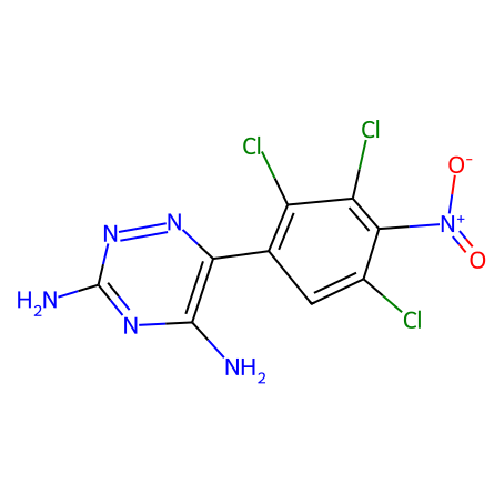 Nc1nnc(-c2cc(Cl)c([N+](=O)[O-])c(Cl)c2Cl)c(N)n1